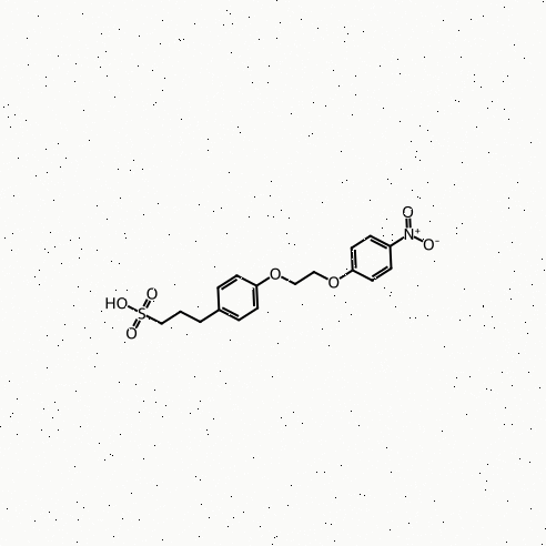 O=[N+]([O-])c1ccc(OCCOc2ccc(CCCS(=O)(=O)O)cc2)cc1